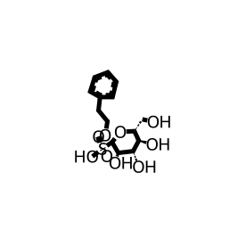 O=S(=O)(O)[C@@]1(OCCc2ccccc2)O[C@H](CO)[C@@H](O)[C@H](O)[C@H]1O